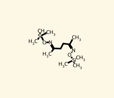 CC(CCC(C)=NO[Si](C)(C)C)=NO[Si](C)(C)C